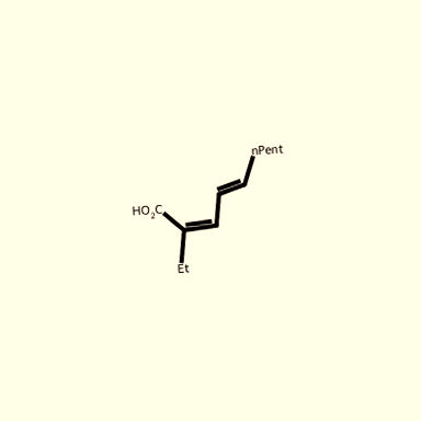 CCCCCC=CC=C(CC)C(=O)O